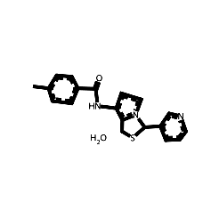 Cc1ccc(C(=O)Nc2ccn3c2CSC3c2cccnc2)cc1.O